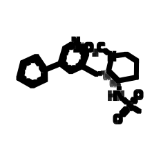 CCOC(=O)N1CCC[C@H](NS(C)(=O)=O)[C@@H]1Cc1cncc(-c2ccccc2)c1